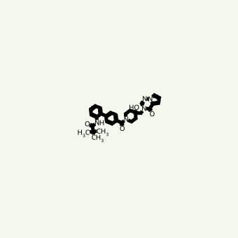 CC(C)(C)C(=O)Nc1ccccc1-c1ccc(C(=O)N2CCC(O)(Cn3cnn4cccc4c3=O)CC2)cc1